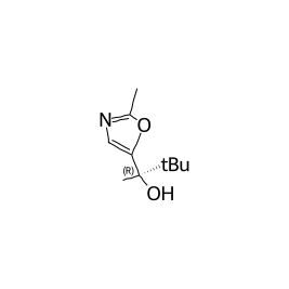 Cc1ncc([C@](C)(O)C(C)(C)C)o1